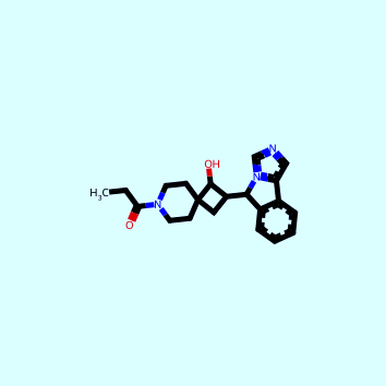 CCC(=O)N1CCC2(CC1)CC(C1c3ccccc3-c3cncn31)C2O